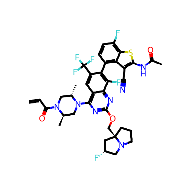 C=CC(=O)N1C[C@H](C)N(c2nc(OC[C@@]34CCCN3C[C@H](F)C4)nc3c(F)c(-c4ccc(F)c5sc(NC(C)=O)c(C#N)c45)c(C(F)(F)F)cc23)C[C@H]1C